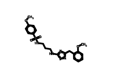 COc1ccc(S(=O)(=O)NCCCNc2nc(Cc3ccccc3OC)ns2)cc1